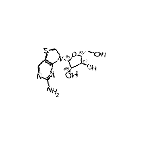 Nc1ncc2c(n1)N([C@@H]1O[C@H](CO)[C@@H](O)[C@H]1O)CS2